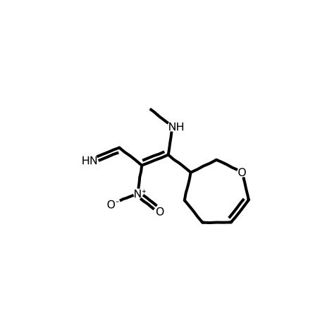 CN/C(=C(\C=N)[N+](=O)[O-])C1CCC=COC1